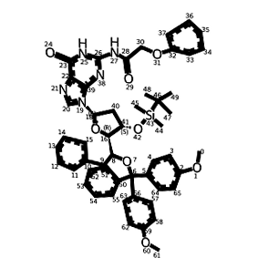 COc1ccc(C(OC(Cc2ccccc2)[C@H]2O[C@@H](n3cnc4c(=O)[nH]c(NC(=O)COc5ccccc5)nc43)C[C@@H]2O[Si](C)(C)C(C)(C)C)(c2ccccc2)c2ccc(OC)cc2)cc1